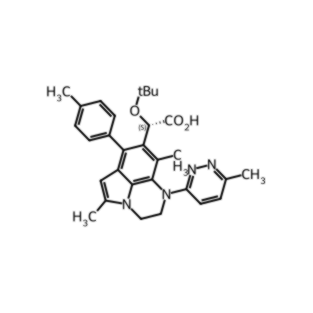 Cc1ccc(-c2c([C@H](OC(C)(C)C)C(=O)O)c(C)c3c4c2cc(C)n4CCN3c2ccc(C)nn2)cc1